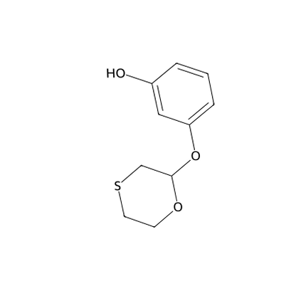 Oc1cccc(OC2CSCCO2)c1